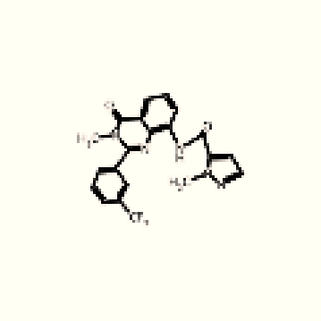 Cn1nccc1C(=O)Nc1cccc2c(=O)n(C)c(-c3cccc(C(F)(F)F)c3)nc12